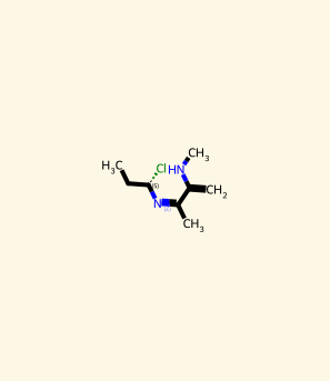 C=C(NC)/C(C)=N\[C@@H](Cl)CC